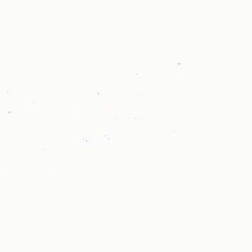 C=CCc1ccc(C(=O)NN(C(=O)C2C=C(C)C=C(C)C2C)[C@H](CCC)C(C)(C)C)c(C)c1OC(C)=O